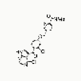 CNC(=O)c1ccc(COc2ccc(C(=O)c3c[nH]c4ncnc(Cl)c34)c(Cl)c2)cn1